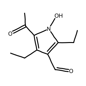 CCc1c(C=O)c(CC)n(O)c1C(C)=O